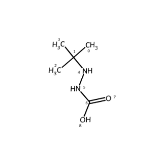 CC(C)(C)NNC(=O)O